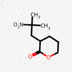 CC(C)(CC1CCCOC1=O)[N+](=O)[O-]